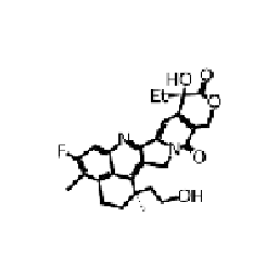 CC[C@@]1(O)C(=O)OCc2c1cc1n(c2=O)Cc2c-1nc1cc(F)c(C)c3c1c2[C@@](C)(CCO)CC3